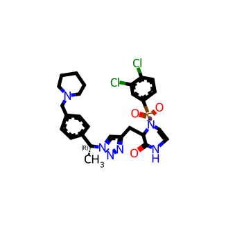 C[C@H](c1ccc(CN2CCCCC2)cc1)n1cc(CC2C(=O)NC=CN2S(=O)(=O)c2ccc(Cl)c(Cl)c2)nn1